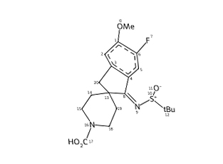 COc1cc2c(cc1F)/C(=N\[S+]([O-])C(C)(C)C)C1(CCN(C(=O)O)CC1)C2